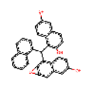 Oc1ccc2c(C(c3cccc4ccccc34)c3c4c(cc5cc(O)ccc35)O4)c(O)ccc2c1